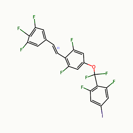 Fc1cc(/C=C/c2c(F)cc(OC(F)(F)c3c(F)cc(I)cc3F)cc2F)cc(F)c1F